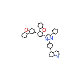 c1ccc(-c2cc(-c3ccc(-c4ccc5oc6ccccc6c5c4)c4c3oc3ccccc34)nc(-c3ccc(-c4cccc5ncccc45)cc3)n2)cc1